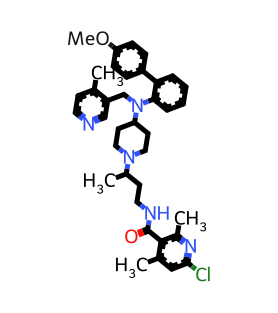 COc1ccc(-c2ccccc2N(Cc2cnccc2C)C2CCN(C(C)CCNC(=O)c3c(C)cc(Cl)nc3C)CC2)cc1